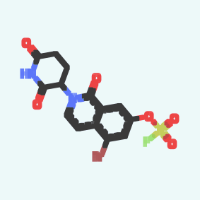 O=C1CCC(n2ccc3c(Br)cc(OS(=O)(=O)F)cc3c2=O)C(=O)N1